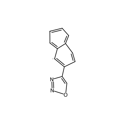 [c]1c(-c2conn2)ccc2ccccc12